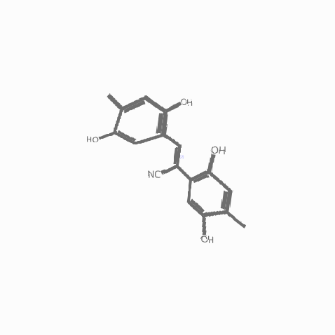 Cc1cc(O)c(/C=C(\C#N)c2cc(O)c(C)cc2O)cc1O